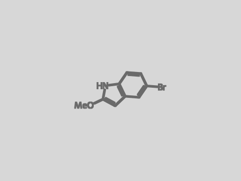 COc1cc2cc(Br)ccc2[nH]1